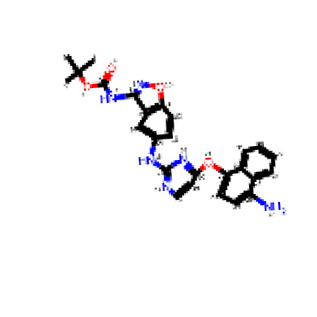 CC(C)(C)OC(=O)Nc1noc2ccc(Nc3nccc(Oc4ccc(N)c5ccccc45)n3)cc12